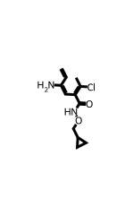 C=C/C(N)=C\C(C(=O)NOCC1CC1)=C(/C)Cl